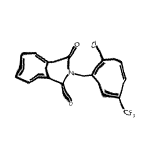 O=C1c2ccccc2C(=O)N1c1cc(C(F)(F)F)ccc1Cl